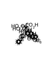 CC(=O)[C@H]1CC[C@H]2[C@@H]3CC[C@H]4C[C@H](O)[C@@H](N5CCO[C@@H](Cc6ccccc6)C5)C[C@]4(C)[C@H]3C(=O)C[C@]12C.O=C(O)CC(O)(CC(=O)O)C(=O)O